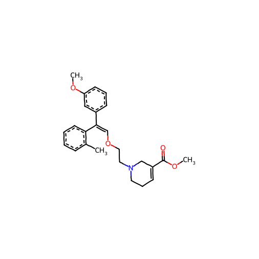 COC(=O)C1=CCCN(CCOC=C(c2cccc(OC)c2)c2ccccc2C)C1